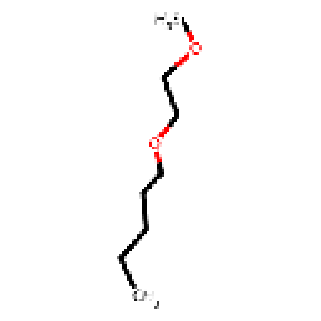 CCCCCOCCO[SiH3]